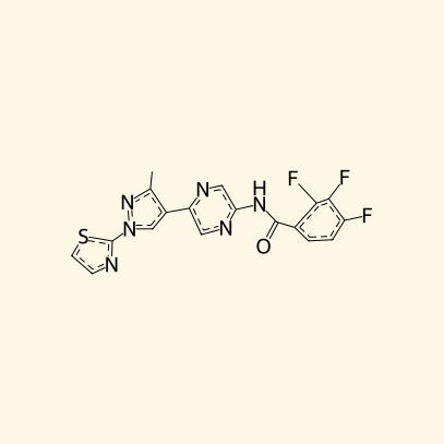 Cc1nn(-c2nccs2)cc1-c1cnc(NC(=O)c2ccc(F)c(F)c2F)cn1